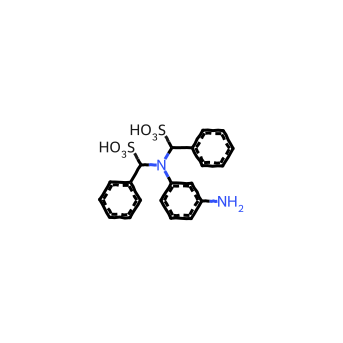 Nc1cccc(N(C(c2ccccc2)S(=O)(=O)O)C(c2ccccc2)S(=O)(=O)O)c1